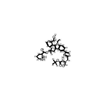 CCn1c(-c2cccnc2[C@H](C)OC)c(CC(C)(C)COC(=O)C2CCCNN2)c2cc(-c3csc(C[C@@H](C=O)NC(=O)OC(C)(C)C)n3)ccc21